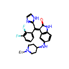 CCN1CCC(Nc2ccc3c(c2)C(=C(c2ncc[nH]2)c2cccc(F)c2F)C(=O)N3)CC1